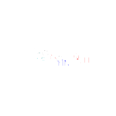 O=C(O)C1CCCC(NCc2ccc(OCc3ccc(C4CCCCC4)c(C(F)(F)F)c3)cc2)C1